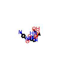 Cn1c(=O)c(C(=O)NCc2ccc(C#N)cc2)cc2ccnc(OCC3(S(=O)(=O)NCCO)CC3)c21